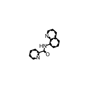 O=C(Nc1cccc2cccnc12)c1ccccn1